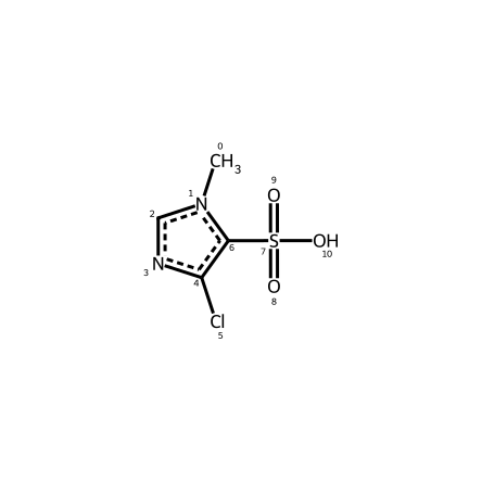 Cn1cnc(Cl)c1S(=O)(=O)O